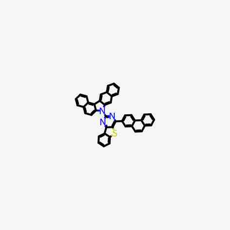 c1ccc2cc3c(cc2c1)c1c2ccccc2ccc1n3-c1nc(-c2ccc3c(ccc4ccccc43)c2)c2sc3ccccc3c2n1